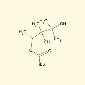 CCC(C)C(=O)OC(C)C(C)(C)C(C)(C)O